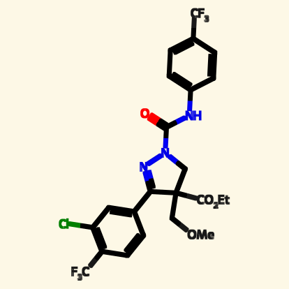 CCOC(=O)C1(COC)CN(C(=O)Nc2ccc(C(F)(F)F)cc2)N=C1c1ccc(C(F)(F)F)c(Cl)c1